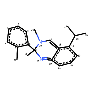 Cc1ccccc1C1(C)N=c2cccc(C(C)C)c2=CN1C